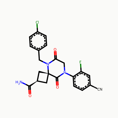 N#Cc1ccc(N2CC(=O)N(Cc3ccc(Cl)cc3)[C@]3(C[C@H](C(N)=O)C3)C2=O)c(F)c1